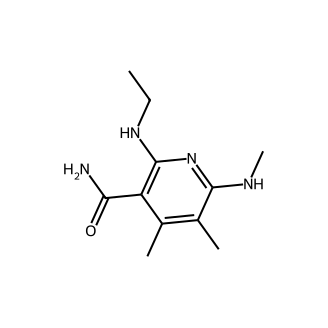 CCNc1nc(NC)c(C)c(C)c1C(N)=O